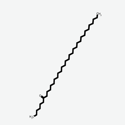 CCCCCCCCCCCCCCCCCCCCCCCCCCCCC(=O)CCCCCC